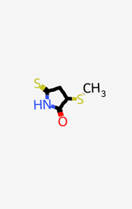 CSC1CC(=S)NC1=O